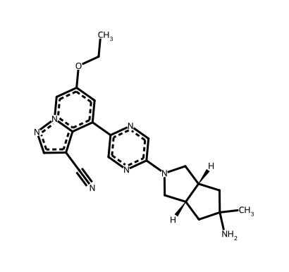 CCOc1cc(-c2cnc(N3C[C@@H]4CC(C)(N)C[C@@H]4C3)cn2)c2c(C#N)cnn2c1